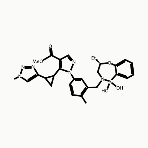 CC[C@@H]1CN(Cc2cc(-n3ncc(C(=O)OC)c3C3CC3c3cn(C)nn3)ccc2C)S(O)(O)c2ccccc2O1